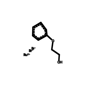 OCCOc1ccccc1.[Br-].[Br-].[Ru+2]